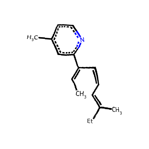 C\C=C(/C=C\C=C(/C)CC)c1cc(C)ccn1